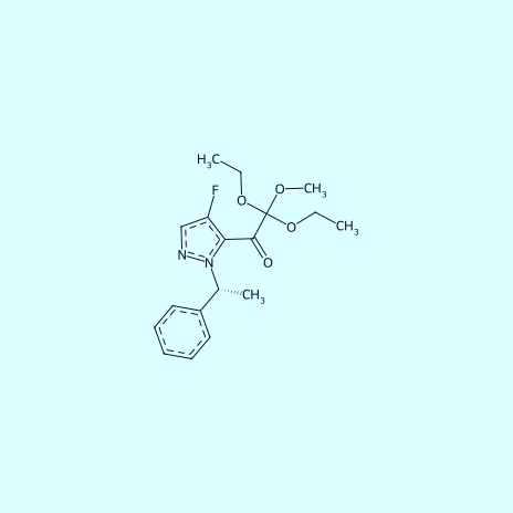 CCOC(OC)(OCC)C(=O)c1c(F)cnn1[C@H](C)c1ccccc1